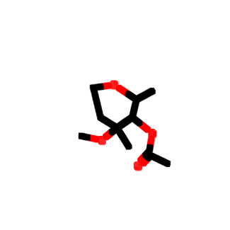 COC1(C)CCOC(C)C1OC(C)=O